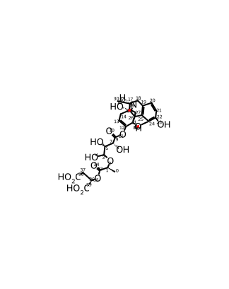 C[C@H](OC(O)[C@H](O)[C@@H](O)C(=O)OC1=CC[C@@]2(O)[C@H]3Cc4ccc(O)c5c4C2(CCN3C)[C@H]1O5)C(=O)O[C@H](CC(=O)O)C(=O)O